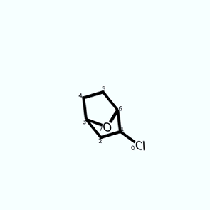 ClC1CC2CCC1O2